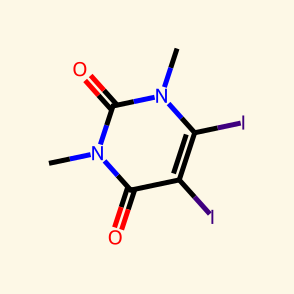 Cn1c(I)c(I)c(=O)n(C)c1=O